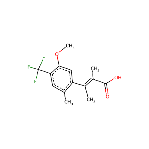 COc1cc(/C(C)=C(\C)C(=O)O)c(C)cc1C(F)(F)F